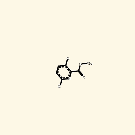 CC(C)(C)OC(=O)c1nc(Cl)ccc1Cl